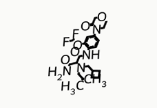 CC(C)CN(CC1CCC1)[C@@H](C(N)=O)C(=O)Nc1ccc(N2CCOCC2=O)cc1OC(F)F